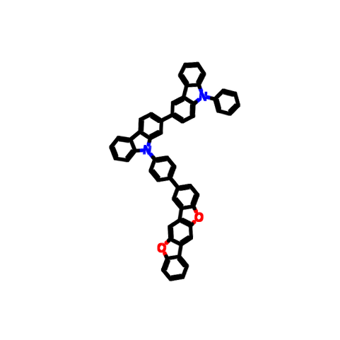 c1ccc(-n2c3ccccc3c3cc(-c4ccc5c6ccccc6n(-c6ccc(-c7ccc8oc9cc%10c(cc9c8c7)oc7ccccc7%10)cc6)c5c4)ccc32)cc1